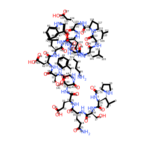 CC(C)C[C@H](NC(=O)[C@@H]1CCCN1)C(=O)N[C@@H](CO)C(=O)N[C@@H](CCC(N)=O)C(=O)N[C@@H](CCC(=O)O)C(=O)N[C@H](C(=O)N[C@@H](Cc1ccccc1)C(=O)N[C@@H](CO)C(=O)N[C@@H](CC(=O)O)C(=O)N[C@@H](CC(C)C)C(=O)N[C@@H](Cc1c[nH]c2ccccc12)C(=O)N[C@@H](CCCCN)C(=O)N[C@@H](CC(C)C)C(=O)N[C@@H](CC(C)C)C(=O)N1CCC[C@H]1C(=O)N[C@@H](CCC(=O)O)C(=O)N[C@@H](CC(N)=O)C(N)=O)[C@H](C)O